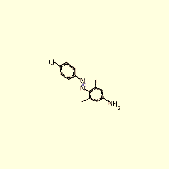 Cc1cc(N)cc(C)c1/N=N/c1ccc(Cl)cc1